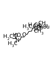 C=CC(=O)N(C)CC(O)COCCCC(C)[Si](C)(C)O[Si](C)(C)CCCC